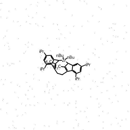 CCC[CH2][Zr]1([CH2]CCC)[CH]2C(C)=C(CCC3=C(C)[CH]1c1cc(C(C)C)cc(C(C)C)c13)c1c(C(C)C)cc(C(C)C)cc12